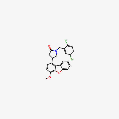 COc1ccc(C2CC(=O)N(CC3=CC(Br)CC=C3F)C2)c2c1oc1ccccc12